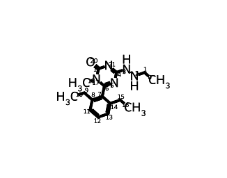 CCNNc1nc(-c2c(CC)cccc2CC)n(C)c(=O)n1